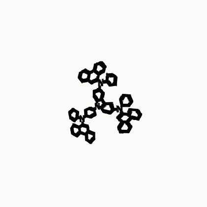 c1ccc(N(c2ccc(-n3c4ccc(N(c5ccccc5)c5cc6ccccc6c6ccccc56)cc4c4cc(N(c5ccccc5)c5cc6ccccc6c6ccccc56)ccc43)cc2)c2cc3ccccc3c3ccccc23)cc1